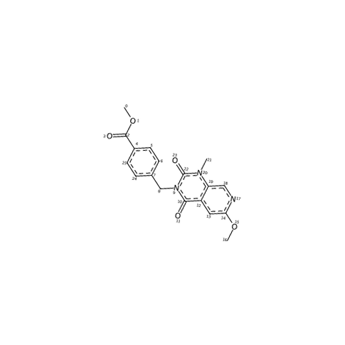 COC(=O)c1ccc(Cn2c(=O)c3cc(OC)ncc3n(C)c2=O)cc1